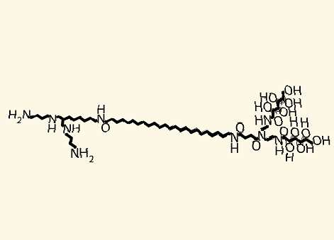 NCCCCNCC(CCCCCCNC(=O)CCCCCCCCCCCCCCCCCCCCCCCNC(=O)CCC(=O)N(CCNC(=O)[C@@H](O)[C@H](O)[C@@H](O)[C@H](O)CO)CCNC(=O)[C@H](O)[C@@H](O)[C@H](O)[C@@H](O)CO)CNCCCCN